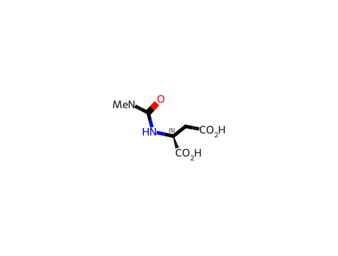 CNC(=O)N[C@@H](CC(=O)O)C(=O)O